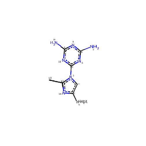 CCCCCCCc1cn(-c2nc(N)nc(N)n2)c(C)n1